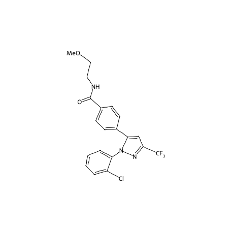 COCCNC(=O)c1ccc(-c2cc(C(F)(F)F)nn2-c2ccccc2Cl)cc1